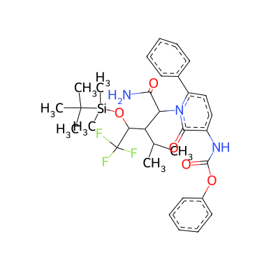 CC(C)C(C(C(N)=O)n1c(-c2ccccc2)ccc(NC(=O)Oc2ccccc2)c1=O)C(O[Si](C)(C)C(C)(C)C)C(F)(F)F